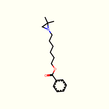 CC1(C)CN1CCCCCCOC(=O)c1ccccc1